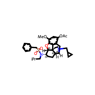 COc1cc(OC(C)=O)c2c3c1O[C@H]1[C@@H](N(CC(C)C)S(=O)(=O)Cc4ccccc4)CC[C@H]4[C@@H](C2)N(CC2CC2)CC[C@@]341